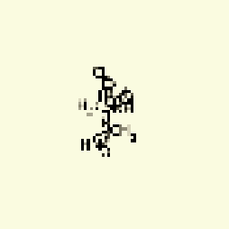 C=C/C(=C\N=C(/C)N1CCNC(=O)C1)C(=O)Nc1ccncc1Nc1ccc(Cl)cc1